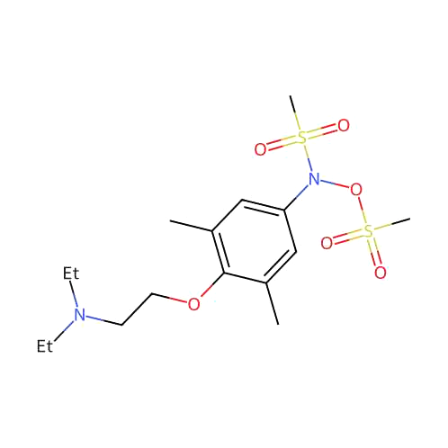 CCN(CC)CCOc1c(C)cc(N(OS(C)(=O)=O)S(C)(=O)=O)cc1C